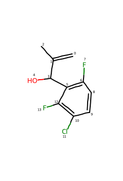 C=C(C)C(O)c1c(F)ccc(Cl)c1F